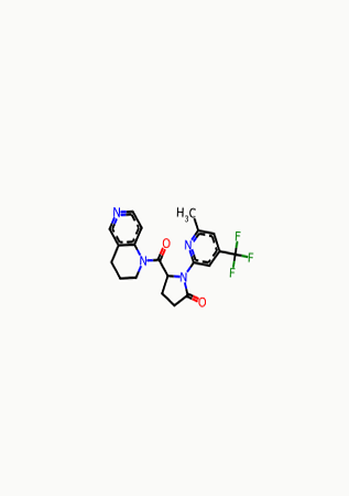 Cc1cc(C(F)(F)F)cc(N2C(=O)CCC2C(=O)N2CCCc3cnccc32)n1